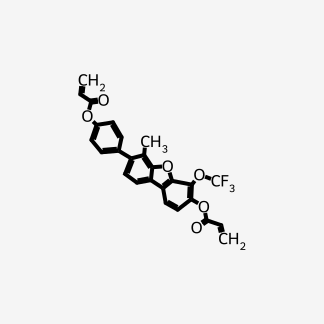 C=CC(=O)Oc1ccc(-c2ccc3c(oc4c(OC(F)(F)F)c(OC(=O)C=C)ccc43)c2C)cc1